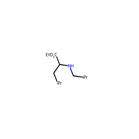 CCOC(=O)C(CC(C)C)NCC(C)C